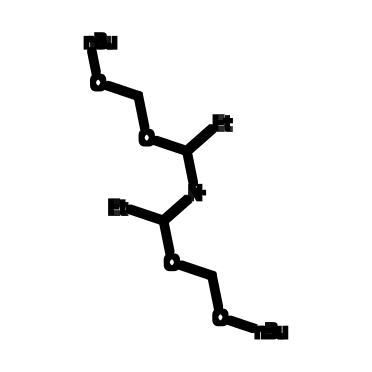 CCCCOCOC(CC)[N]C(CC)OCOCCCC